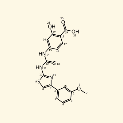 COc1cccc(-c2csc(NC(=S)Nc3ccc(C(=O)O)c(O)c3)n2)c1